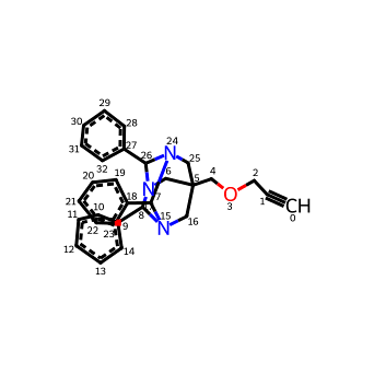 C#CCOCC12CN3C(c4ccccc4)N(C1)C(c1ccccc1)N(C2)C3c1ccccc1